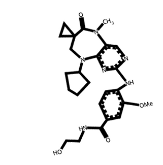 COc1cc(C(=O)NCCO)ccc1Nc1ncc2c(n1)N(C1CCCC1)CC1(CC1)C(=O)N2C